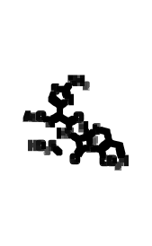 C=CC1=C(C(=O)O)N2C(=O)C(NC(=O)C(=NOC(C)=O)c3csc(N)n3)[C@@H]2SC1.CS(=O)(=O)O